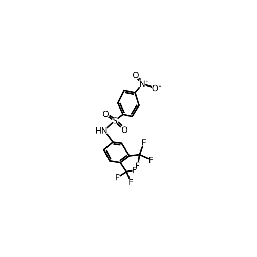 O=[N+]([O-])c1ccc(S(=O)(=O)Nc2ccc(C(F)(F)F)c(C(F)(F)F)c2)cc1